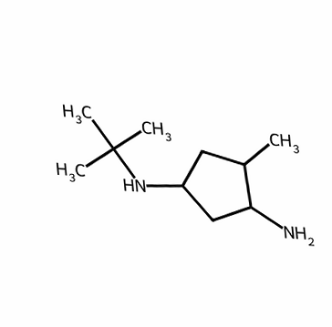 CC1CC(NC(C)(C)C)CC1N